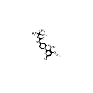 COc1cc(Cl)nc(N2CCC(NC(=O)OC(C)(C)C)CC2)c1[N+](=O)[O-]